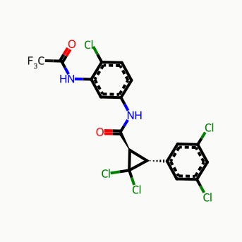 O=C(Nc1ccc(Cl)c(NC(=O)C(F)(F)F)c1)[C@H]1[C@H](c2cc(Cl)cc(Cl)c2)C1(Cl)Cl